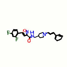 O=C(NCC1CCN(CC=Cc2ccccc2)CC1)c1cc(-c2ccc(F)cc2F)on1